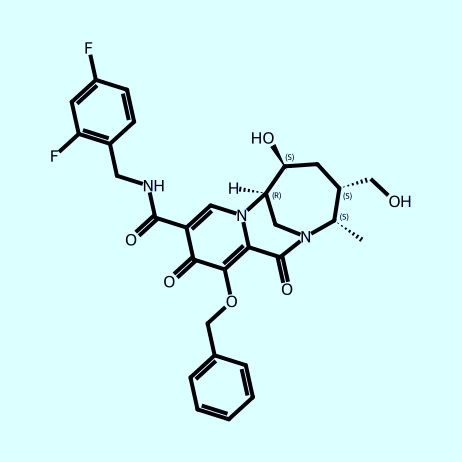 C[C@H]1[C@@H](CO)C[C@H](O)[C@H]2CN1C(=O)c1c(OCc3ccccc3)c(=O)c(C(=O)NCc3ccc(F)cc3F)cn12